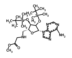 COC(=O)CNC[C@H]1O[C@@H](n2cnc3c(N)ncnc32)C(O[Si](C)(C)C(C)(C)C)[C@@H]1O[Si](C)(C)C(C)(C)C